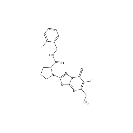 CCc1nc2sc(N3CCCC3C(=O)NCc3ccccc3F)nn2c(=O)c1F